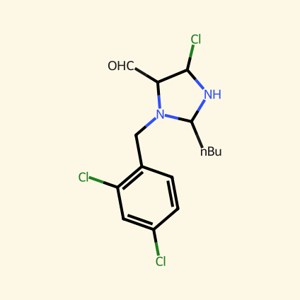 CCCCC1NC(Cl)C(C=O)N1Cc1ccc(Cl)cc1Cl